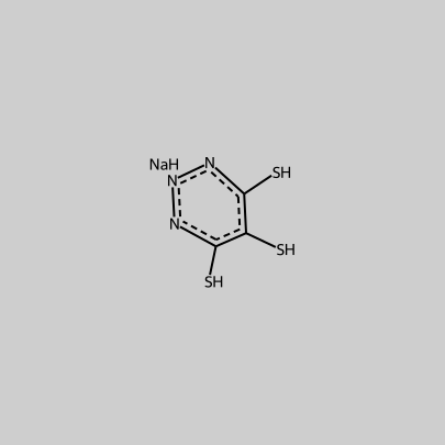 Sc1nnnc(S)c1S.[NaH]